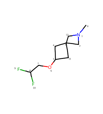 CN1CC2(CC(OCC(F)F)C2)C1